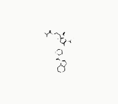 C[C@@H](NC(=O)C(F)F)[C@H]1C(=O)N2C(C(=O)O)=C(S[C@@H]3CN[C@H](C(=O)N4CCC5CNCCC54)C3)[C@H](C)[C@H]12